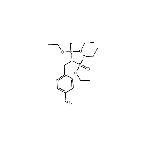 CCOP(=O)(OCC)C(Cc1ccc(N)cc1)P(=O)(OCC)OCC